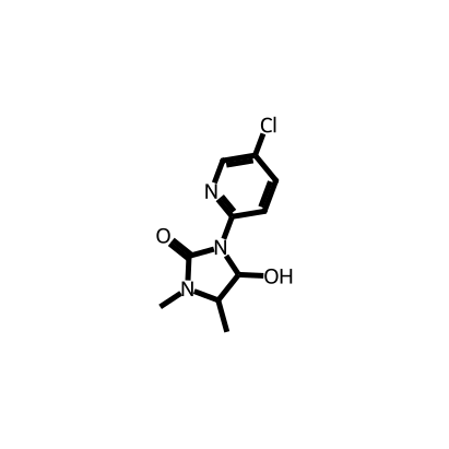 CC1C(O)N(c2ccc(Cl)cn2)C(=O)N1C